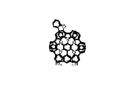 N#Cc1cc(C#N)cc(-c2c(-n3c4ccccc4c4ccccc43)c(-n3c4ccccc4c4ccccc43)c(-n3c4ccccc4c4c5oc6ccccc6c5ccc43)c(-n3c4ccccc4c4ccccc43)c2-n2c3ccccc3c3ccccc32)c1